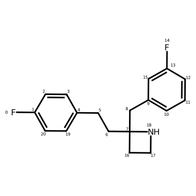 Fc1ccc(CCC2(Cc3cccc(F)c3)CCN2)cc1